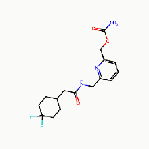 NC(=O)OCc1cccc(CNC(=O)CC2CCC(F)(F)CC2)n1